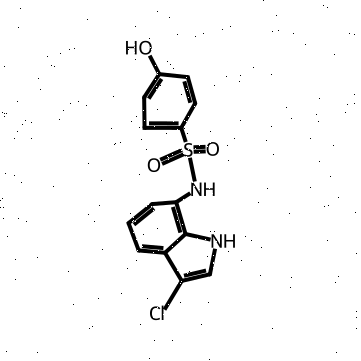 O=S(=O)(Nc1cccc2c(Cl)c[nH]c12)c1ccc(O)cc1